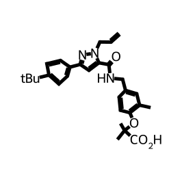 C=CCn1nc(-c2ccc(C(C)(C)C)cc2)cc1C(=O)NCc1ccc(OC(C)(C)C(=O)O)c(C)c1